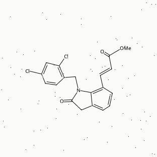 COC(=O)C=Cc1cccc2c1N(Cc1ccc(Cl)cc1Cl)C(=O)C2